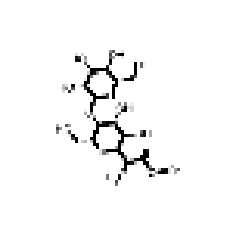 CC(C)OC(=O)C(C)C1O[C@H](CO)[C@@H](OC2O[C@H](CO)[C@H](O)[C@H](O)[C@H]2O)[C@H](O)[C@H]1O